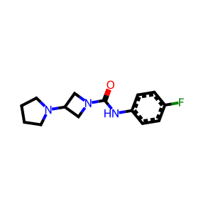 O=C(Nc1ccc(F)cc1)N1CC(N2CCCC2)C1